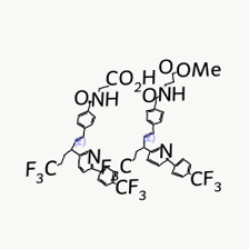 COC(=O)CCNC(=O)c1ccc(/C=C/C(CCC(F)(F)F)c2ccc(-c3ccc(C(F)(F)F)cc3)nc2)cc1.O=C(O)CCNC(=O)c1ccc(/C=C/C(CCC(F)(F)F)c2ccc(-c3ccc(C(F)(F)F)cc3)nc2)cc1